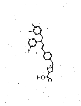 Cc1ccc(CC(C=Cc2ccc(CN3CC(C(=O)O)C3)cc2)c2cccc(F)c2)cc1C